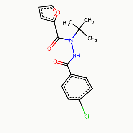 CC(C)(C)N(NC(=O)c1ccc(Cl)cc1)C(=O)c1ccco1